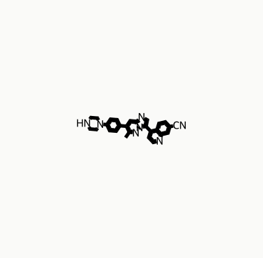 Cc1nn2c(-c3ccnc4cc(C#N)ccc34)cnc2cc1-c1ccc(N2CCNCC2)cc1